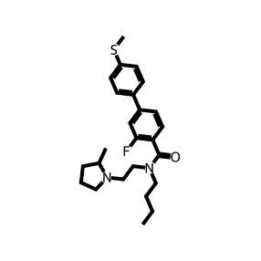 CCCCN(CCN1CCCC1C)C(=O)c1ccc(-c2ccc(SC)cc2)cc1F